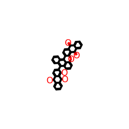 O=c1c2ccccc2c(=O)c2c1ccc1c2oc2ccc3oc4c(ccc5c(=O)c6ccccc6c(=O)c54)c4c5ccccc5c1c2c34